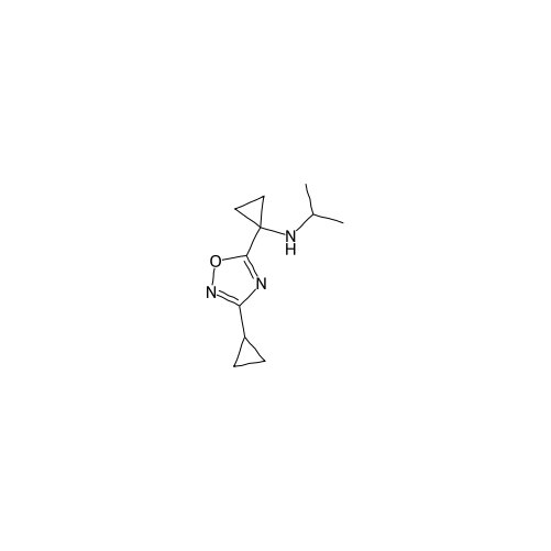 CC(C)NC1(c2nc(C3CC3)no2)CC1